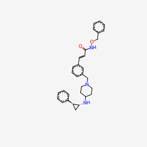 O=C(C=Cc1cccc(CN2CCC(N[C@@H]3C[C@H]3c3ccccc3)CC2)c1)NOCc1ccccc1